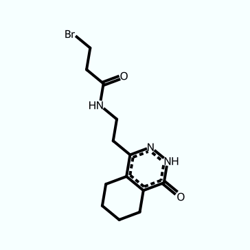 O=C(CCBr)NCCc1n[nH]c(=O)c2c1CCCC2